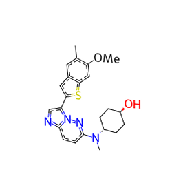 COc1cc2sc(-c3cnc4ccc(N(C)[C@H]5CC[C@H](O)CC5)nn34)cc2cc1C